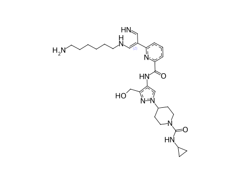 N=C/C(=C\NCCCCCCN)c1cccc(C(=O)Nc2cn(C3CCN(C(=O)NC4CC4)CC3)nc2CO)n1